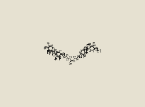 CCOc1ccc(C(F)(F)Oc2ccc(OCCCCC(C)CCCCOc3ccc(OC(F)(F)c4ccc(C)c(F)c4F)c(F)c3F)c(F)c2F)c(F)c1F